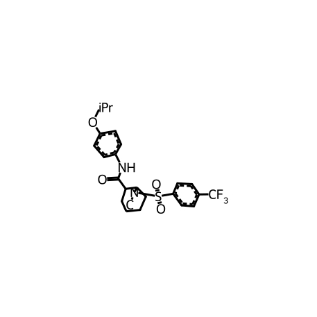 CC(C)Oc1ccc(NC(=O)C2CC3CCC2N(S(=O)(=O)c2ccc(C(F)(F)F)cc2)C3)cc1